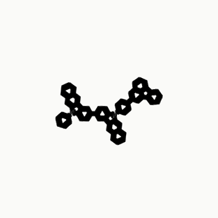 c1ccc(-n2c3ccc(-c4ccc5c(c4)c4cc6ccccc6cc4n5-c4ccc(-c5cc6c7c(cccc7c5)-c5ccccc5-6)cc4)cc3c3cc4ccccc4cc32)cc1